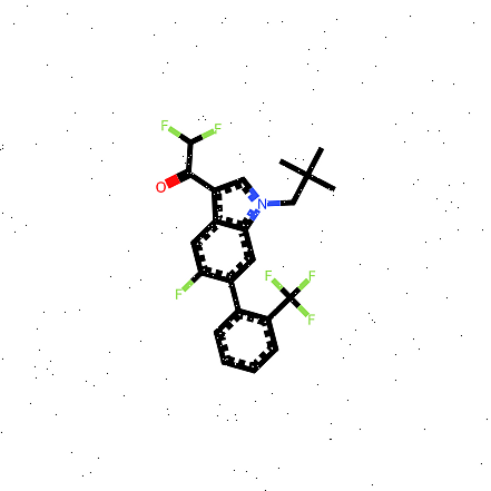 CC(C)(C)Cn1cc(C(=O)C(F)F)c2cc(F)c(-c3ccccc3C(F)(F)F)cc21